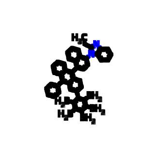 Bc1c(B)c(B)c(-c2ccc3c(-c4ccc(-n5c(CC)nc6ccccc65)c5ccccc45)c4ccccc4c(-c4ccccc4)c3c2)c(B)c1B